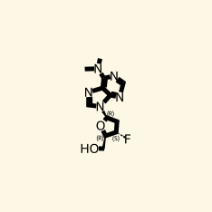 CN(C)c1ncnc2c1ncn2[C@H]1C[C@H](F)[C@@H](CO)O1